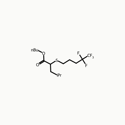 CCCCOC(=O)C(CC(C)C)SCCCC(F)(F)C(F)(F)F